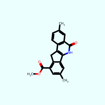 COC(=O)c1cc(C)cc2c1Cc1c-2[nH]c(=O)c2cc(C)ccc12